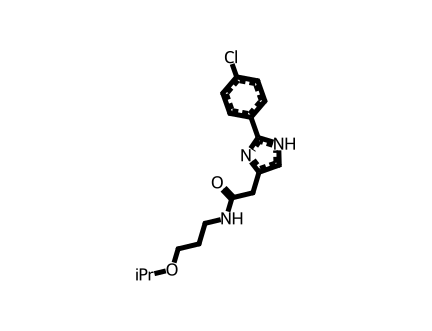 CC(C)OCCCNC(=O)Cc1c[nH]c(-c2ccc(Cl)cc2)n1